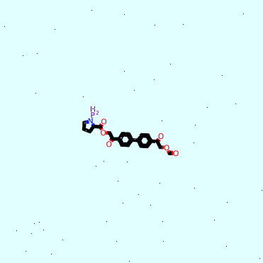 O=COCC(=O)c1ccc(-c2ccc(C(=O)COC(=O)C3CCCN3P)cc2)cc1